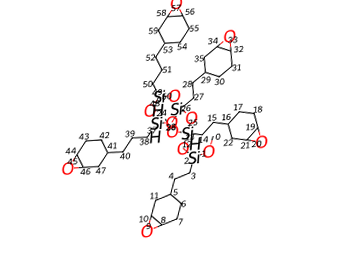 CO[SiH](CCC1CCC2OC2C1)O[Si](CCC1CCC2OC2C1)(OC)O[Si]1(CCC2CCC3OC3C2)O[SiH](CCCC2CCC3OC3C2)O[SiH](CCCC2CCC3OC3C2)O1